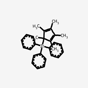 CC1=C(C)[C](C)([Zr]([c]2ccccc2)([c]2ccccc2)[c]2ccccc2)C(C)=C1C